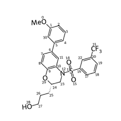 COc1cccc(-c2ccc3c(c2)N(S(=O)(=O)c2cccc(C(F)(F)F)c2)C[C@H](CCCO)O3)c1